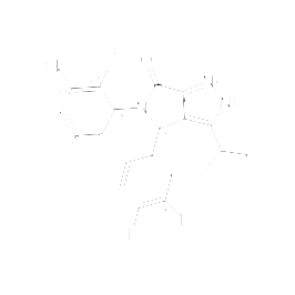 CC(C)c1[nH]nc2c1C(c1ccc(F)c(F)c1)N(c1cccc(Cl)c1F)C2=O